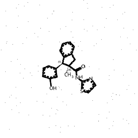 C[C@@]1(C(=O)Nc2nccs2)Cc2ccccc2[C@@H]1c1cccc(O)c1